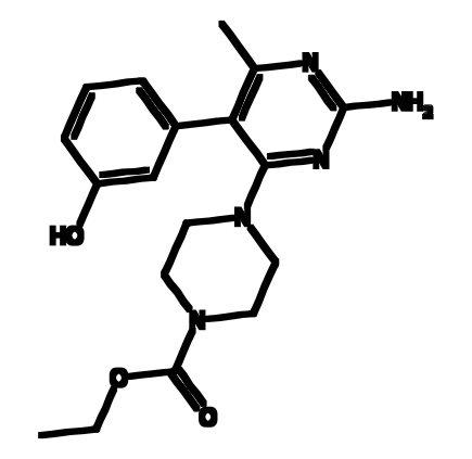 CCOC(=O)N1CCN(c2nc(N)nc(C)c2-c2cccc(O)c2)CC1